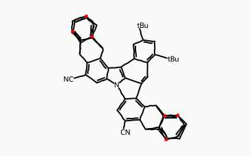 CC(C)(C)c1cc(C(C)(C)C)c2cc3c4c5c(c(C#N)cc4n4c6cc(C#N)c7c(c6c(c2c1)c34)C1c2ccccc2C7c2ccccc21)C1c2ccccc2C5c2ccccc21